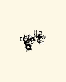 CCOc1c(Nc2csc(S(=O)(=O)N(CC)Cc3ccccc3)c2O)c(=O)c1=O